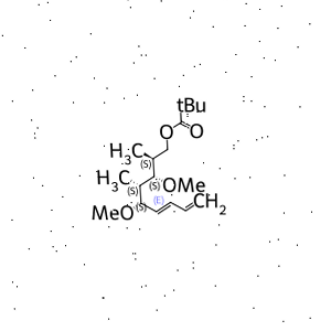 C=C/C=C/[C@H](OC)[C@H](C)[C@@H](OC)[C@@H](C)COC(=O)C(C)(C)C